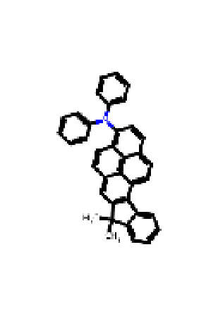 CC1(C)c2ccccc2-c2c1cc1ccc3c(N(c4ccccc4)c4ccccc4)ccc4ccc2c1c43